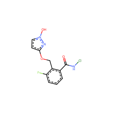 O=C(NCl)c1cccc(F)c1COc1ccn(O)n1